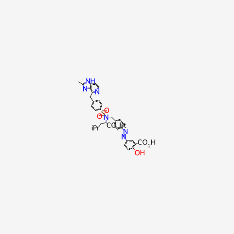 CCOC(=O)[C@H](CC(C)C)N(Cc1ccc(N=Nc2ccc(O)c(C(=O)O)c2)cc1)S(=O)(=O)c1ccc(Cc2nccc3[nH]c(C)nc23)cc1